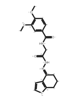 COc1ccc(C(=O)NCC(=O)N/N=C2\CCCc3sccc32)cc1OC